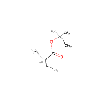 CC[C@H](C)C(=O)OC(C)(C)C